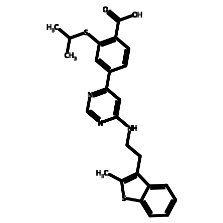 Cc1sc2ccccc2c1CCNc1cc(-c2ccc(C(=O)O)c(SC(C)C)c2)ncn1